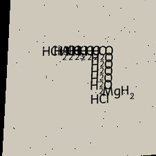 Cl.Cl.O.O.O.O.O.O.O.O.O.O.O.O.[AlH3].[MgH2]